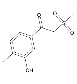 Cc1ccc(C(=O)CS(C)(=O)=O)cc1O